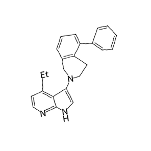 CCc1ccnc2[nH]cc(N3CCc4c(cccc4-c4ccccc4)C3)c12